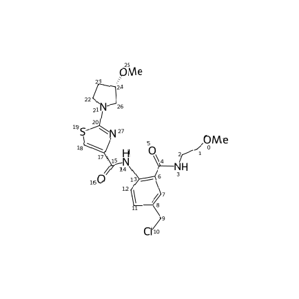 COCCNC(=O)c1cc(CCl)ccc1NC(=O)c1csc(N2CC[C@H](OC)C2)n1